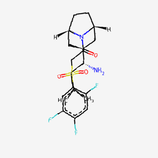 CC(C)S(=O)(=O)CC(=O)N1[C@@H]2CC[C@H]1C[C@H]([C@H](N)Cc1cc(F)c(F)cc1F)C2